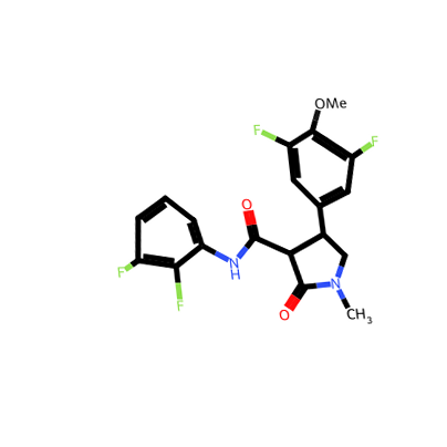 COc1c(F)cc(C2CN(C)C(=O)C2C(=O)Nc2cccc(F)c2F)cc1F